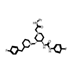 CC(C)NC(=O)CN1CC[C@@H](NC(=O)Nc2ccc(F)cc2)[C@H](CN2CCCC(Cc3ccc(F)cc3)C2)C1